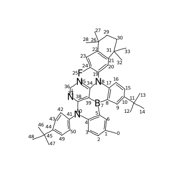 Cc1ccc2c(c1)B1c3cc(C(C)(C)C)ccc3N(c3cc4c(cc3F)C(C)(C)CCC4(C)C)c3ncnc(c31)N2c1ccc(C(C)(C)C)cc1